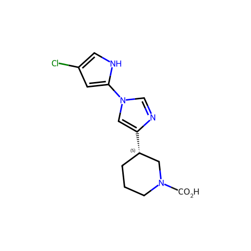 O=C(O)N1CCC[C@H](c2cn(-c3cc(Cl)c[nH]3)cn2)C1